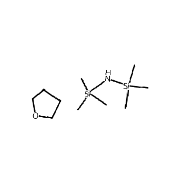 C1CCOC1.C[Si](C)(C)N[Si](C)(C)C